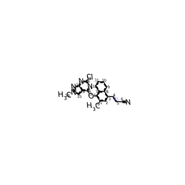 Cc1cc(/C=C/C#N)c2ccccc2c1Oc1nc(Cl)nc2nn(C)cc12